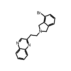 Brc1cccc2c1CN(CCc1cnc3ccccc3n1)C2